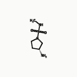 CNS(=O)(=O)N1CC[C@@H](N)C1